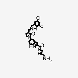 NCCCNC(=O)c1cc2cc(N3CC/C(=C/NCc4cc(F)cc(Cl)c4)C3=O)ccc2[nH]1